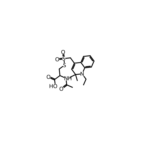 CCN1c2ccccc2C(CS(=O)(=O)SCC(NC(C)=O)C(=O)O)=CC1(C)C